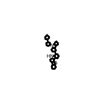 c1ccc(-c2cccc(-n3c4ccccc4c4cc(-c5cccc6c5[nH]c5ccc7c8ccccc8oc7c56)ccc43)c2)cc1